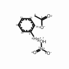 CC(=O)[O-].O=[N+]([O-])O.[Hg+][c]1ccccc1